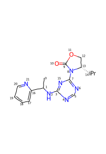 CC(Nc1ncnc(N2C(=O)OC[C@@H]2C(C)C)n1)c1ccccn1